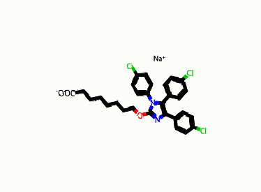 O=C([O-])CCCCCCCOc1nc(-c2ccc(Cl)cc2)c(-c2ccc(Cl)cc2)n1-c1ccc(Cl)cc1.[Na+]